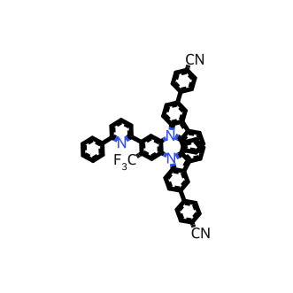 N#Cc1ccc(-c2ccc3c(c2)c2ccccc2n3-c2cc(-c3cccc(-c4ccccc4)n3)c(C(F)(F)F)cc2-n2c3ccccc3c3cc(-c4ccc(C#N)cc4)ccc32)cc1